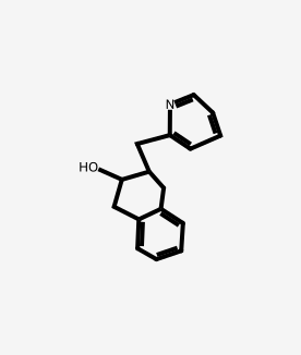 OC1Cc2ccccc2CC1Cc1ccccn1